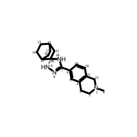 CN1CCc2cc(C3=NN[C@]4(CC5CCC4CC5)N3)ccc2C1